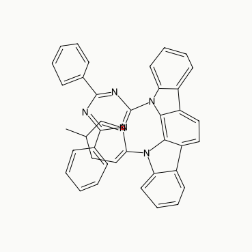 CC1C=NC(n2c3ccccc3c3ccc4c5ccccc5n(-c5nc(-c6ccccc6)nc(-c6ccccc6)n5)c4c32)=CC1